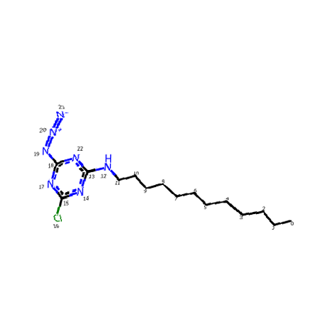 CCCCCCCCCCCCNc1nc(Cl)nc(N=[N+]=[N-])n1